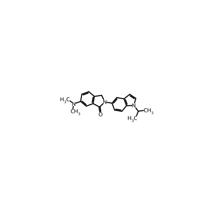 CC(C)n1ccc2cc(N3Cc4ccc(N(C)C)cc4C3=O)ccc21